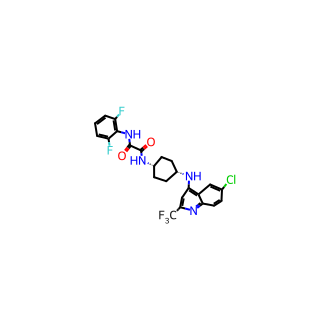 O=C(Nc1c(F)cccc1F)C(=O)N[C@H]1CC[C@@H](Nc2cc(C(F)(F)F)nc3ccc(Cl)cc23)CC1